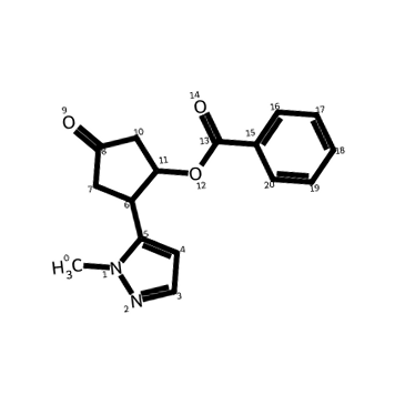 Cn1nccc1C1CC(=O)CC1OC(=O)c1ccccc1